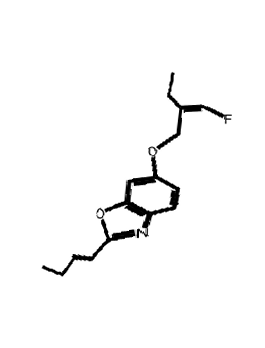 CCCCc1nc2ccc(OC/C(=C\F)CC)cc2o1